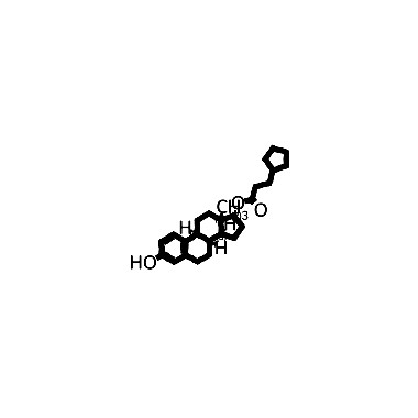 C[C@]12CC[C@@H]3c4ccc(O)cc4CC[C@H]3[C@@H]1CC[C@H]2OC(=O)CCC1CCCC1